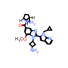 COc1cc(C(=O)N2C[C@H]3CC[C@@H]2[C@@H]3N)cc2nc(-c3cc4cccnc4n3CC3CC3)n(C3CC(N)C3)c12